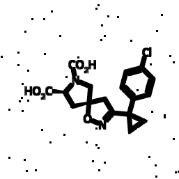 O=C(O)[C@@H]1C[C@]2(CC(C3(c4ccc(Cl)cc4)CC3)=NO2)CN1C(=O)O